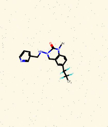 CC(=O)N1C(=O)N(NCc2cccnc2)Cc2cc(C(F)(F)C(F)(F)C(F)(F)F)ccc21